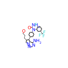 NC(=O)N(c1ccc(-c2c(CCC=O)cn3ncnc(N)c23)cc1)c1cc(C(F)(F)F)ccc1F